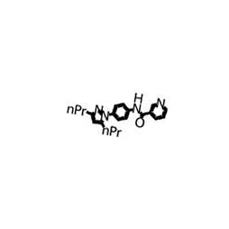 CCCc1cc(CCC)n(-c2ccc(NC(=O)c3cccnc3)cc2)n1